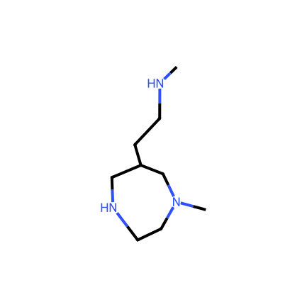 CNCCC1CNCCN(C)C1